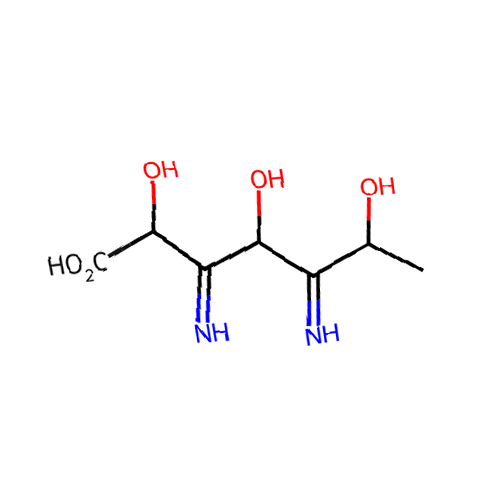 CC(O)C(=N)C(O)C(=N)C(O)C(=O)O